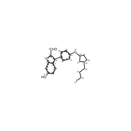 O=Cc1sc2cc(O)ccc2c1-c1ccc(OC2CCN(CCCF)C2)cc1